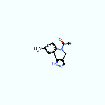 CCC(=O)N1Cc2cn[nH]c2-c2cc([N+](=O)[O-])ccc21